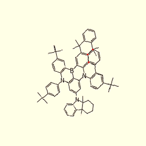 CC(C)(C)c1ccc(N2c3ccc(C(C)(C)C)cc3B3c4cc5c(cc4N(c4ccc(C(C)(C)C)cc4-c4ccccc4)c4cc(N6c7ccccc7C7(C)CCCCC67C)cc2c43)C(C)(C)c2ccccc2C5(C)C)cc1